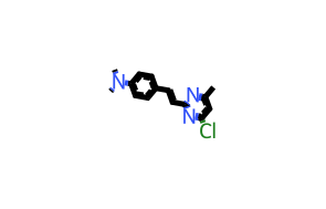 Cc1cc(Cl)nc(C=Cc2ccc(N(C)C)cc2)n1